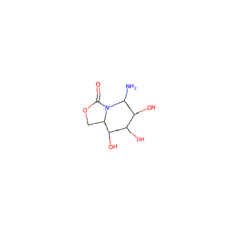 NC1C(O)C(O)C(O)C2COC(=O)N12